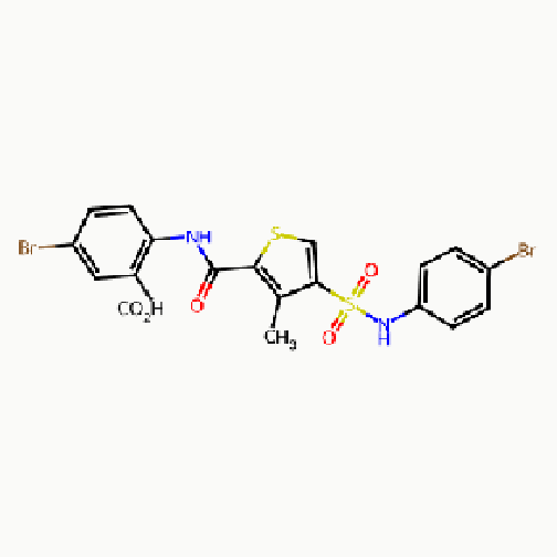 Cc1c(S(=O)(=O)Nc2ccc(Br)cc2)csc1C(=O)Nc1ccc(Br)cc1C(=O)O